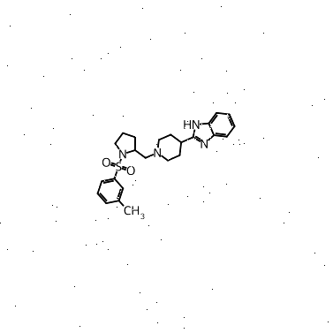 Cc1cccc(S(=O)(=O)N2CCCC2CN2CCC(c3nc4ccccc4[nH]3)CC2)c1